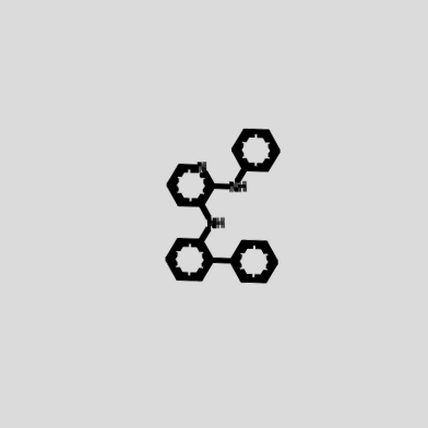 c1ccc(Nc2ncccc2Nc2ccccc2-c2ccccc2)cc1